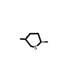 CC1CC[C@@H](C)SC1